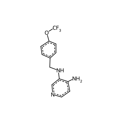 Nc1ccncc1NCc1ccc(OC(F)(F)F)cc1